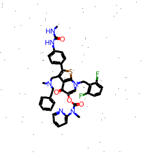 CNC(=O)Nc1ccc(-c2sc3c(c2CN(C)Cc2ccccc2)c(=O)c(OC(=O)N(C)c2ccccn2)cn3Cc2c(F)cccc2F)cc1